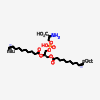 CCCC/C=C\CCCCCCCC(=O)O[C@H](COC(=O)CCCCCCC/C=C\CCCCCCCC)COP(=O)(O)OC[C@H](N)C(=O)O